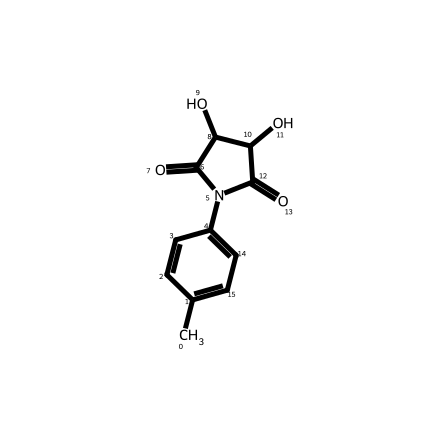 Cc1ccc(N2C(=O)C(O)C(O)C2=O)cc1